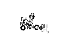 CB(O)N1CCC(n2cnc3c(-n4c(C(F)F)nc5ccccc54)nc(N4CCOCC4)nc32)CC1